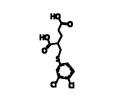 O=C(O)CCC(CSc1ccc(Cl)c(Cl)c1)C(=O)O